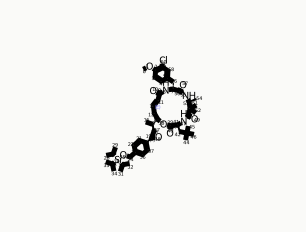 COc1ccc(C[C@H]2NC(=O)/C=C/C[C@@H](C(C)[C@H]3O[C@@H]3c3ccc(CO[Si](C(C)C)(C(C)C)C(C)C)cc3)OC(=O)[C@H](CC(C)(C)C)NC(=O)C(C)(C)[C@H](C)NC2=O)cc1Cl